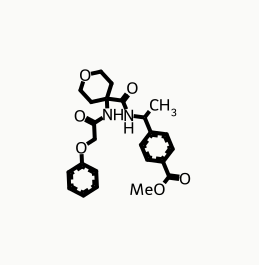 COC(=O)c1ccc(C(C)NC(=O)C2(NC(=O)COc3ccccc3)CCOCC2)cc1